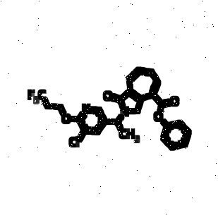 CC(c1cnc(OCCC(F)(F)F)c(Cl)c1)N1CC2=C(C=C=CC=C2C(=O)Oc2ccccc2)C1=O